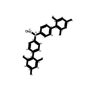 Cc1cc(C)c(-c2ccc(N([C]=O)c3ccc(-c4c(C)cc(C)cc4C)cc3)cc2)c(C)c1